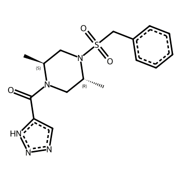 C[C@@H]1CN(C(=O)c2cnn[nH]2)[C@@H](C)CN1S(=O)(=O)Cc1ccccc1